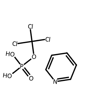 O=P(O)(O)OC(Cl)(Cl)Cl.c1ccncc1